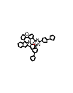 c1ccc(-c2ccc(-c3nc(-c4ccc(-c5ccccc5)cc4)nc(-c4ccc5oc6ccccc6c5c4-n4c5ccccc5c5cc6ccccc6cc54)n3)cc2)cc1